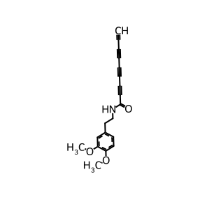 C#CC#CC#CC#CC(=O)NCCc1ccc(OC)c(OC)c1